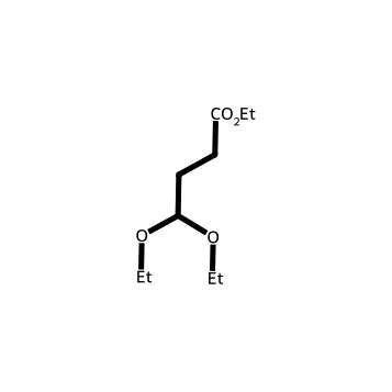 CCOC(=O)CCC(OCC)OCC